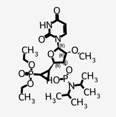 CCOP(=O)(OCC)C1CC1[C@H]1O[C@@H](n2ccc(=O)[nH]c2=O)[C@H](OC)[C@@H]1OP(O)N(C(C)C)C(C)C